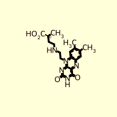 Cc1cc2nc3c(=O)[nH]c(=O)nc-3n(CCNCC[C@H](C)C(=O)O)c2cc1C